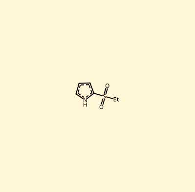 CCS(=O)(=O)c1ccc[nH]1